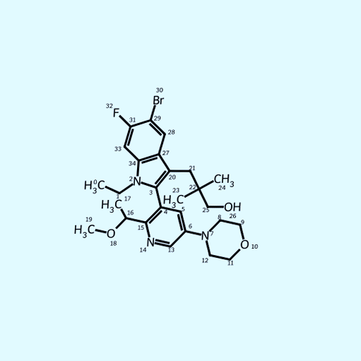 CCn1c(-c2cc(N3CCOCC3)cnc2C(C)OC)c(CC(C)(C)CO)c2cc(Br)c(F)cc21